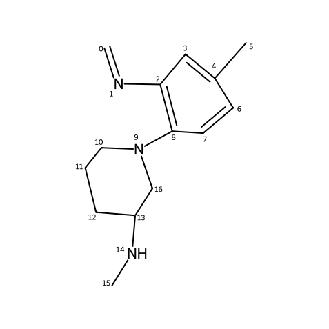 C=Nc1cc(C)ccc1N1CCCC(NC)C1